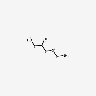 NCOCC(O)CO